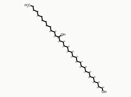 CCCCCCCCCCCCCC(O)CCCCCCCCCCCCCCCCCCCCO